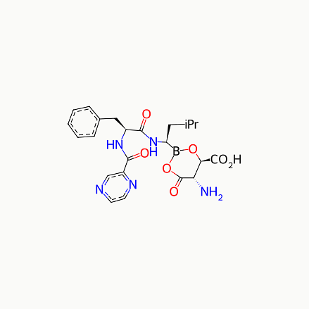 CC(C)C[C@H](NC(=O)[C@H](Cc1ccccc1)NC(=O)c1cnccn1)B1OC(=O)[C@@H](N)[C@H](C(=O)O)O1